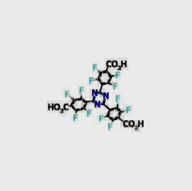 O=C(O)c1c(F)c(F)c(-c2nc(-c3c(F)c(F)c(C(=O)O)c(F)c3F)nc(-c3c(F)c(F)c(C(=O)O)c(F)c3F)n2)c(F)c1F